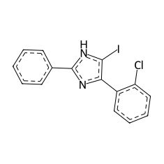 Clc1ccccc1-c1nc(-c2ccccc2)[nH]c1I